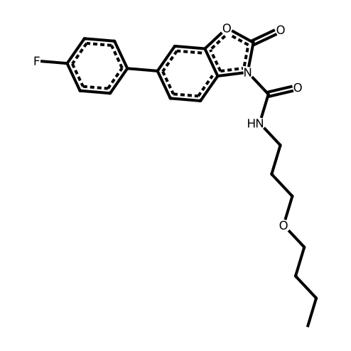 CCCCOCCCNC(=O)n1c(=O)oc2cc(-c3ccc(F)cc3)ccc21